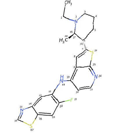 CCN1CCC[C@H](c2cc3c(Nc4cc5ncsc5cc4F)ccnc3s2)[C@H]1C